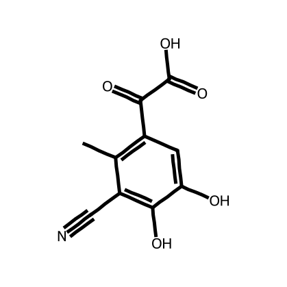 Cc1c(C(=O)C(=O)O)cc(O)c(O)c1C#N